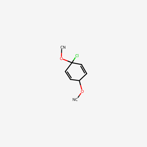 N#COC1C=CC(Cl)(OC#N)C=C1